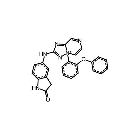 O=C1Cc2cc(NC3=N[N+]4(c5ccccc5Oc5ccccc5)C=CN=CC4=N3)ccc2N1